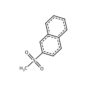 CS(=O)(=O)c1ccc2c[c]ccc2c1